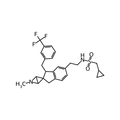 CN1C2C1C21Cc2ccc(CCNS(=O)(=O)CC3CC3)cc2C1Cc1cccc(C(F)(F)F)c1